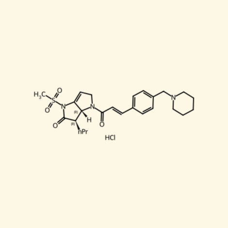 CCC[C@H]1C(=O)N(S(C)(=O)=O)C2=CCN(C(=O)C=Cc3ccc(CN4CCCCC4)cc3)[C@@H]21.Cl